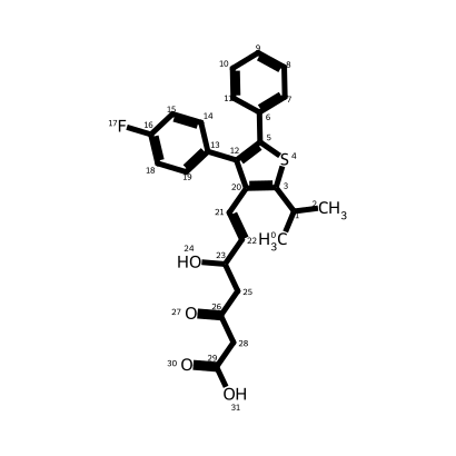 CC(C)c1sc(-c2ccccc2)c(-c2ccc(F)cc2)c1C=CC(O)CC(=O)CC(=O)O